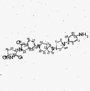 Nc1ccc(N2CCC(N3CCC4(CCN(c5ccc6c(c5)CN(C5CCC(=O)NC5=O)C6=O)CC4)C3)CC2)cc1